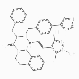 Cc1nn(C)c(C)c1C=CC(=O)N(Cc1ccc(-c2cncs2)cc1)C(Cc1ccccc1)C(=O)N1CCc2ccccc2C1